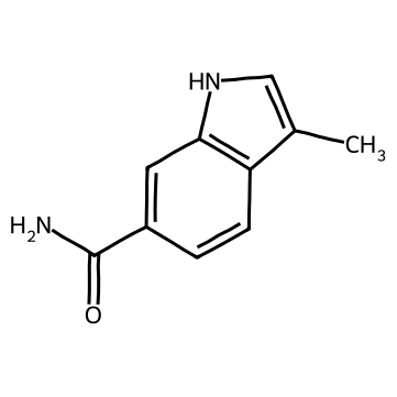 Cc1c[nH]c2cc(C(N)=O)ccc12